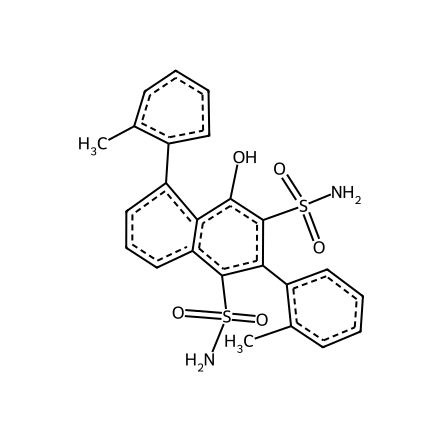 Cc1ccccc1-c1c(S(N)(=O)=O)c(O)c2c(-c3ccccc3C)cccc2c1S(N)(=O)=O